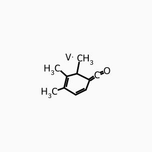 CC1=C(C)C(C)C(=C=O)C=C1.[V]